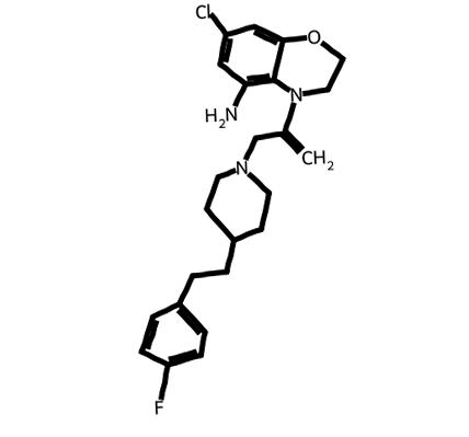 C=C(CN1CCC(CCc2ccc(F)cc2)CC1)N1CCOc2cc(Cl)cc(N)c21